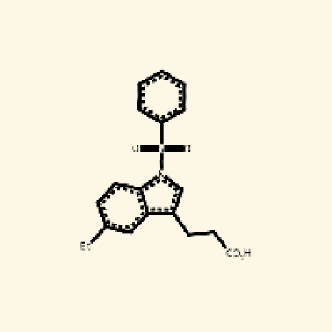 CCc1ccc2c(c1)c(CCC(=O)O)cn2S(=O)(=O)c1ccccc1